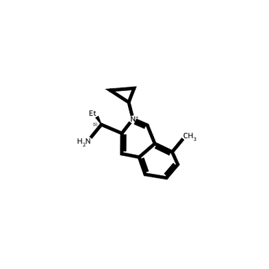 CC[C@H](N)c1cc2cccc(C)c2c[n+]1C1CC1